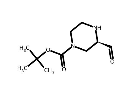 CC(C)(C)OC(=O)N1CCN[C@@H](C=O)C1